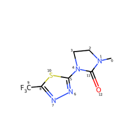 CN1CCN(c2nnc(C(F)(F)F)s2)C1=O